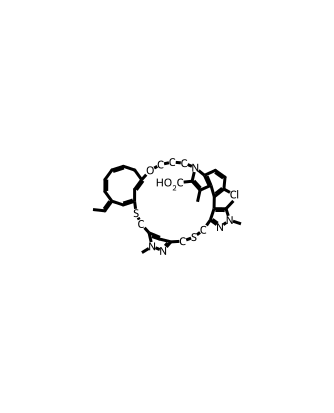 C/C=C1\C=C/C=C\C/C2=C/C(=C\1)SCc1cc(nn1C)CSCc1nn(C)c(C)c1-c1c(Cl)ccc3c1c(C)c(C(=O)O)n3CCCO2